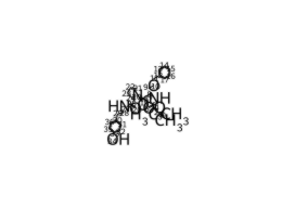 CC(C)(C)OC(=O)N[C@@H](COCc1ccccc1)C(=O)N1CCC[C@H]1C(=O)NCCc1ccc(O)cc1